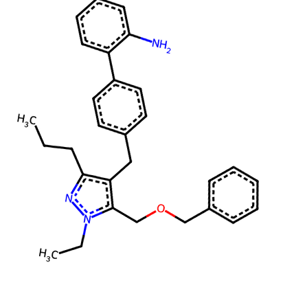 CCCc1nn(CC)c(COCc2ccccc2)c1Cc1ccc(-c2ccccc2N)cc1